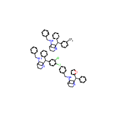 Clc1ccc(C(c2ccccc2)C2C(NCc3ccccc3)C3CCN2CC3)cc1Cl.FC(F)(F)c1cccc(C(c2ccccc2)C2C(NCc3ccccc3)C3CCN2CC3)c1.c1ccc(CNC2C3CCN(CC3)C2C(c2ccccc2)c2ccco2)cc1